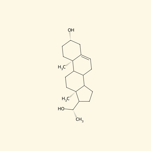 C[C@H](O)C1CCC2C3CC=C4C[C@@H](O)CC[C@]4(C)C3CC[C@@]21C